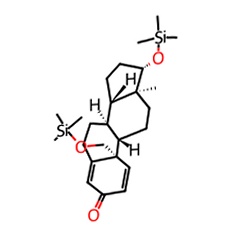 C[C@]12CC[C@H]3[C@@H](CCC4=CC(=O)C=C[C@@]43CO[Si](C)(C)C)[C@@H]1CC[C@@H]2O[Si](C)(C)C